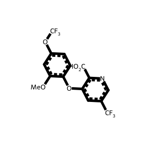 COc1cc(OC(F)(F)F)ccc1Oc1cc(C(F)(F)F)cnc1C(=O)O